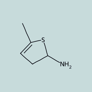 CC1=CCC(N)S1